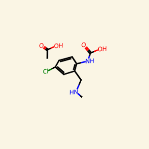 CC(=O)O.CNCc1cc(Cl)ccc1NC(=O)O